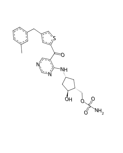 Cc1cccc(Cc2csc(C(=O)c3cncnc3N[C@@H]3C[C@H](COS(N)(=O)=O)[C@@H](O)C3)c2)c1